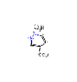 O=C(O)C1=CNN(C(=O)O)C=C1